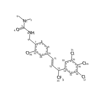 CN(C)C(=O)NCc1ccc(/C=C/C(c2cc(Cl)c(Cl)c(Cl)c2)C(F)(F)F)cc1Cl